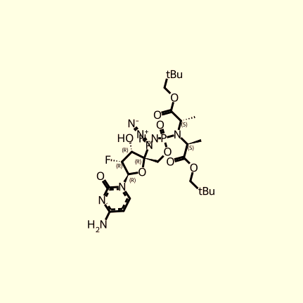 C[C@@H](C(=O)OCC(C)(C)C)N([C@@H](C)C(=O)OCC(C)(C)C)P(N)(=O)OC[C@@]1(N=[N+]=[N-])O[C@@H](n2ccc(N)nc2=O)[C@H](F)[C@@H]1O